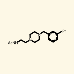 CC(=O)NCCN1CCN(Cc2cccc(C(C)C)c2)CC1